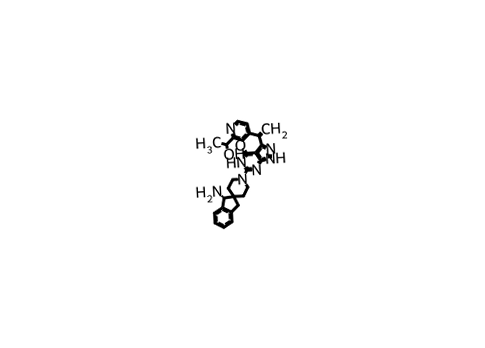 C=C(c1ccnc(C(C)O)c1)c1n[nH]c2nc(N3CCC4(CC3)Cc3ccccc3[C@H]4N)[nH]c(=O)c12